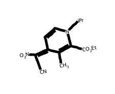 CCOC(=O)C1=C(C)/C(=C(\C#N)[N+](=O)[O-])C=CN1C(C)C